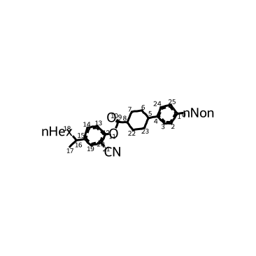 CCCCCCCCCc1ccc(C2CCC(C(=O)Oc3ccc(C(C)CCCCCC)cc3C#N)CC2)cc1